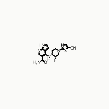 N#Cc1cnc(N2CC[C@@H](Nc3c(C(N)=O)cnc4[nH]ccc34)[C@@H](F)C2)s1